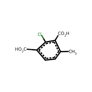 Cc1ccc(C(=O)O)c(Cl)c1C(=O)O